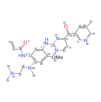 C=CC(=O)Nc1cc(Nc2nccc(C(=O)c3cncc(C)c3)n2)c(OC)cc1N(C)CCN(C)C